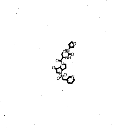 CC(C)(C)CC(NC(=O)Oc1ccoc1)C(=O)N1CCC2C1C(=O)CN2S(=O)(=O)Cc1cccnc1